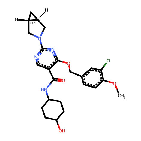 COc1ccc(COc2nc(N3C[C@@H]4C[C@H]4C3)ncc2C(=O)NC2CCC(O)CC2)cc1Cl